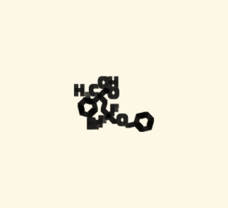 CC(CCC(F)(F)COCc1ccccc1)(C(=O)O)c1cccc(Br)c1